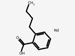 CCCCc1ccccc1C(=O)O.[Nd]